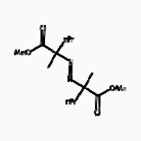 CCCC(C)(/N=N/C(C)(CCC)C(=O)OC)C(=O)OC